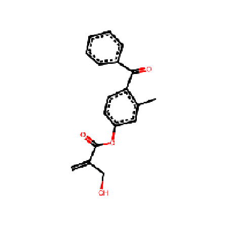 C=C(CO)C(=O)Oc1ccc(C(=O)c2ccccc2)c(C)c1